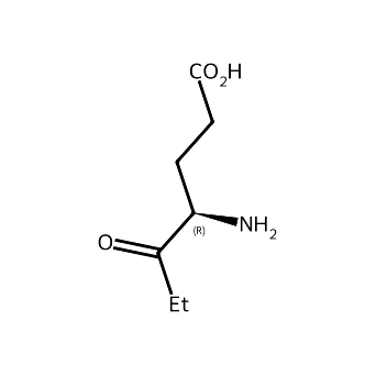 CCC(=O)[C@H](N)CCC(=O)O